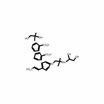 CC(C)(O)CO.CC(C)(O)CO.CC(O)CO.O=C(O)C=Cc1ccccc1.O=C(O)c1ccccc1.O=C(O)c1ccccc1